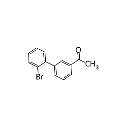 CC(=O)c1cccc(-c2ccccc2Br)c1